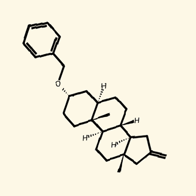 C=C1C[C@@H]2[C@H]3CC[C@@H]4C[C@@H](OCc5ccccc5)CC[C@@]4(C)[C@@H]3CC[C@@]2(C)C1